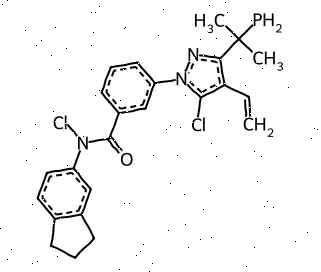 C=Cc1c(C(C)(C)P)nn(-c2cccc(C(=O)N(Cl)c3ccc4c(c3)CCC4)c2)c1Cl